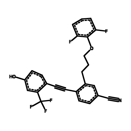 N#Cc1ccc(C#Cc2ccc(O)cc2C(F)(F)F)c(CCCOc2c(F)cccc2F)c1